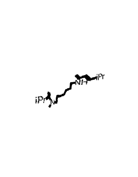 C=C(/C=C/C(C)C)NCCCCCCN(C)C(=C)C(C)C